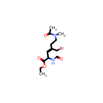 CCOC(=O)C(C=C(CBr)CCN(C)C(C)=O)NC=O